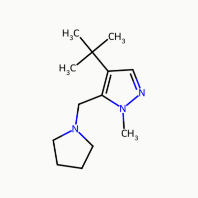 Cn1ncc(C(C)(C)C)c1CN1CCCC1